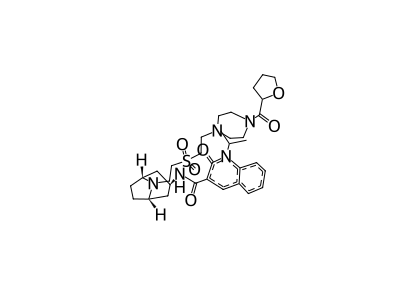 CC(C)n1c(=O)c(C(=O)N[C@@H]2C[C@H]3CC[C@@H](C2)N3CCS(=O)(=O)CCN2CCN(C(=O)C3CCCO3)CC2)cc2ccccc21